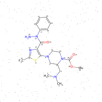 CN(C)CC1CN(c2sc(C(F)(F)F)nc2C(=O)N(N)c2ccccc2)CCN1C(=O)OC(C)(C)C